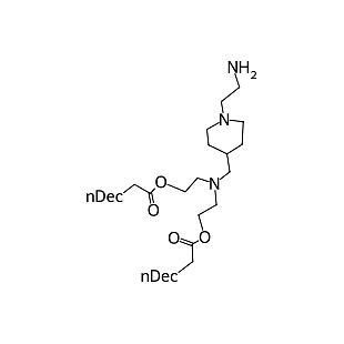 CCCCCCCCCCCC(=O)OCCN(CCOC(=O)CCCCCCCCCCC)CC1CCN(CCN)CC1